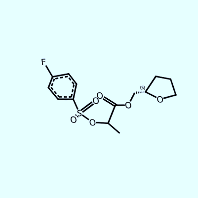 CC(OS(=O)(=O)c1ccc(F)cc1)C(=O)OC[C@@H]1CCCO1